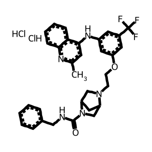 Cc1cc(Nc2cc(OCCN3CC4CC3CN4C(=O)NCc3ccccc3)cc(C(F)(F)F)c2)c2ccccc2n1.Cl.Cl